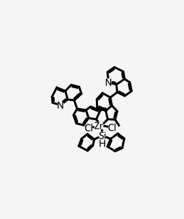 CC1=Cc2c(-c3cccc4cccnc34)cccc2[CH]1[Zr]([Cl])([Cl])([CH]1C(C)=Cc2c(-c3cccc4cccnc34)cccc21)[SiH](c1ccccc1)c1ccccc1